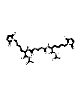 CC(=O)NC(=O)C(CCCCN1C(=O)C=CC1=O)NC(=O)CCCC(=O)NC(CCCCN1C(=O)C=CC1=O)C(=O)NC(C)=O